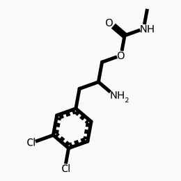 CNC(=O)OCC(N)Cc1ccc(Cl)c(Cl)c1